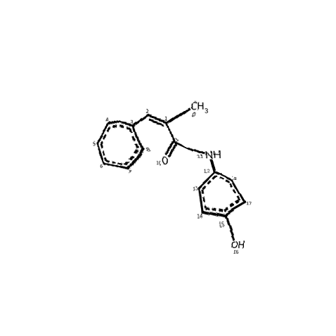 CC(=Cc1ccccc1)C(=O)Nc1ccc(O)cc1